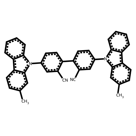 Cc1ccc2c3ccccc3n(-c3ccc(-c4ccc(-n5c6ccccc6c6ccc(C)cc65)cc4C#N)c(C#N)c3)c2c1